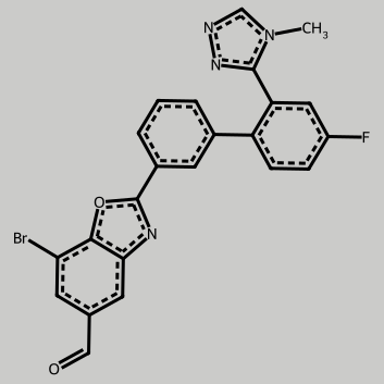 Cn1cnnc1-c1cc(F)ccc1-c1cccc(-c2nc3cc(C=O)cc(Br)c3o2)c1